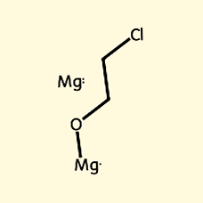 [Mg].[Mg][O]CCCl